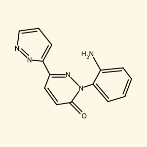 Nc1ccccc1-n1nc(-c2cccnn2)ccc1=O